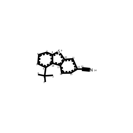 CC(C)(C)c1cccc2sc3cc(C#N)ccc3c12